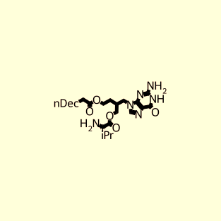 CCCCCCCCCCCC(=O)OCCC(COC(=O)[C@@H](N)C(C)C)Cn1cnc2c(=O)[nH]c(N)nc21